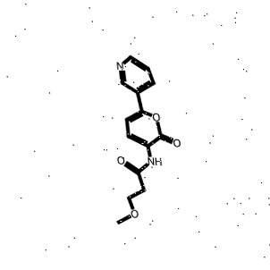 COCCC(=O)Nc1ccc(-c2cccnc2)oc1=O